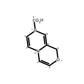 O=C(O)N1C=CN2C=COCC2=C1